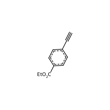 C#Cc1ccc(C(=O)OCC)cc1